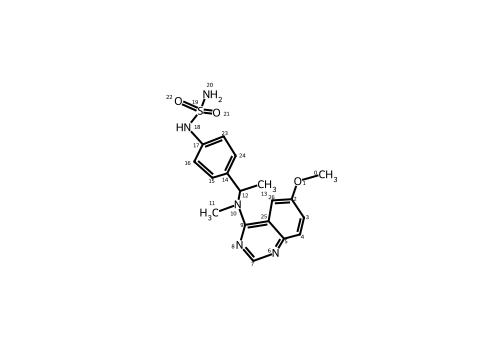 COc1ccc2ncnc(N(C)C(C)c3ccc(NS(N)(=O)=O)cc3)c2c1